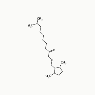 CC(C)CCCCCCC(=O)COCC1C(C)CCC1C